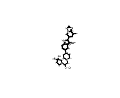 Cc1cc(-c2[nH]c3ccc(C4CCN(CC(C=O)N5CCC(F)(F)C5)CC4)cc3c2C(C)C)cn2ncnc12